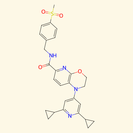 CS(=O)(=O)c1ccc(CNC(=O)c2ccc3c(n2)OCCN3c2cc(C3CC3)nc(C3CC3)c2)cc1